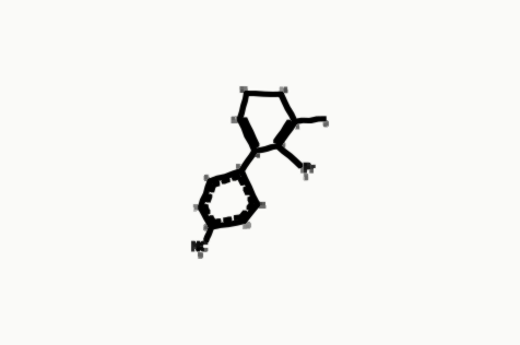 CC1=C(C(C)C)C(c2ccc(C#N)cc2)=CCC1